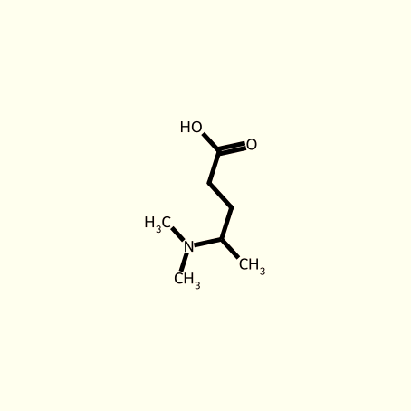 CC(CCC(=O)O)N(C)C